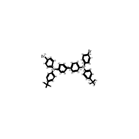 CC(C)(C)c1ccc(N(c2ccc(Br)cc2)c2ccc(-c3ccc(N(c4ccc(Br)cc4)c4ccc(C(C)(C)C)cc4)cc3)cc2)cc1